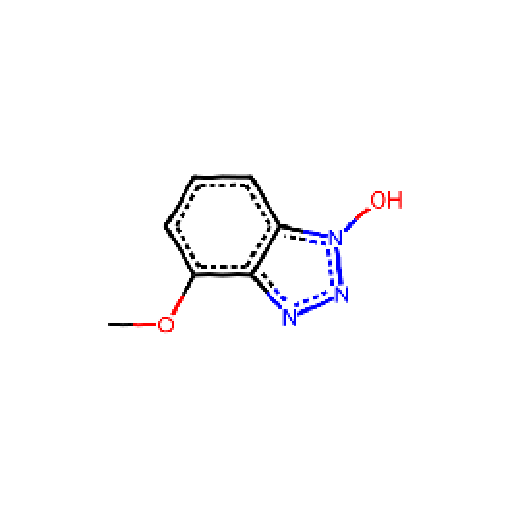 COc1cccc2c1nnn2O